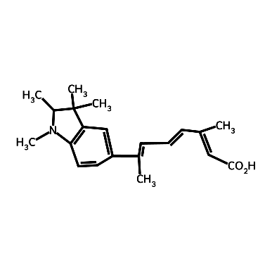 CC(C=CC=C(C)c1ccc2c(c1)C(C)(C)C(C)N2C)=CC(=O)O